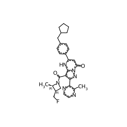 Cc1nccnc1-c1nn2c(=O)cc(-c3ccc(CC4CCCC4)cc3)[nH]c2c1C(=O)N1C[C@@H](CF)[C@H]1C